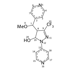 COC(c1ccncc1)C1C(C(F)(F)F)=NN(c2ccncc2)C1O